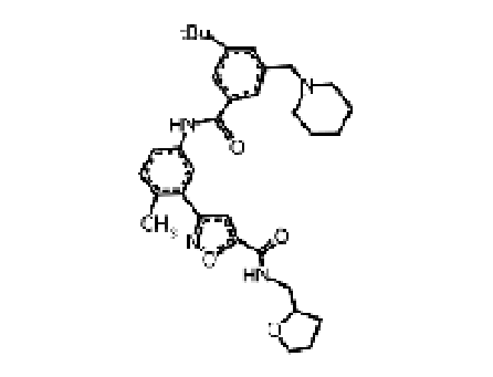 Cc1ccc(NC(=O)c2cc(CN3CCCCC3)cc(C(C)(C)C)c2)cc1-c1cc(C(=O)NCC2CCCO2)on1